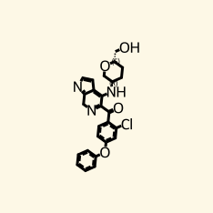 O=C(C1=NCC2=NC=CC2=C1N[C@@H]1CC[C@@H](CO)OC1)c1ccc(Oc2ccccc2)cc1Cl